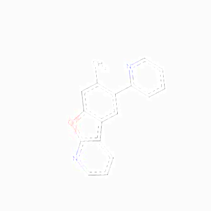 Cc1cc2oc3ncccc3c2cc1-c1ccccn1